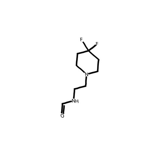 O=CNCCN1CCC(F)(F)CC1